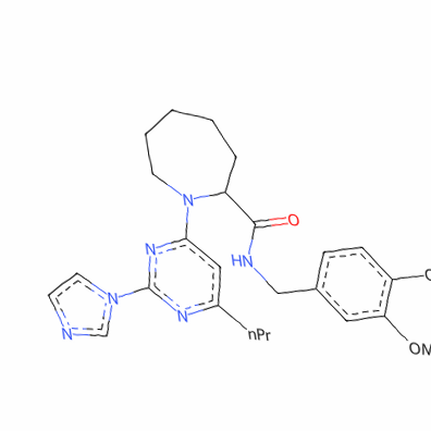 CCCc1cc(N2CCCCCC2C(=O)NCc2ccc(OC)c(OC)c2)nc(-n2ccnc2)n1